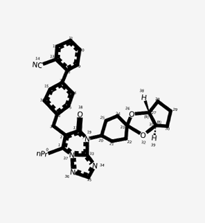 CCCc1c(Cc2ccc(-c3ccccc3C#N)cc2)c(=O)n(C2CCC3(CC2)O[C@@H]2CCC[C@H]2O3)c2ncnn12